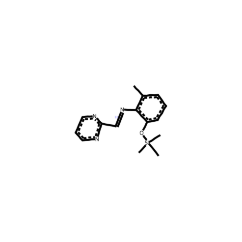 Cc1cccc(O[Si](C)(C)C)c1/N=C/c1ncccn1